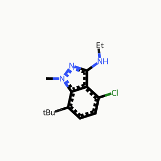 CCNc1nn(C)c2c(C(C)(C)C)ccc(Cl)c12